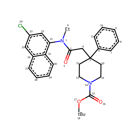 CCN(C(=O)CC1(c2ccccc2)CCN(C(=O)OC(C)(C)C)CC1)c1cc(Cl)cc2ccccc12